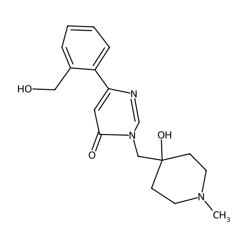 CN1CCC(O)(Cn2cnc(-c3ccccc3CO)cc2=O)CC1